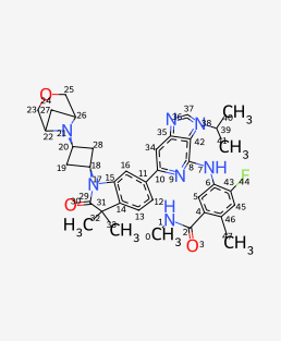 CNC(=O)c1cc(Nc2nc(-c3ccc4c(c3)N([C@H]3C[C@@H](N5C6COCC5C6)C3)C(=O)C4(C)C)cc3ncn(C(C)C)c23)c(F)cc1C